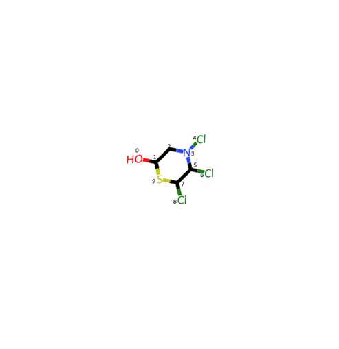 OC1CN(Cl)C(Cl)C(Cl)S1